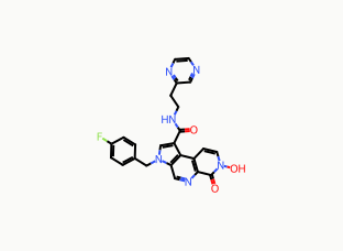 O=C(NCCc1cnccn1)c1cn(Cc2ccc(F)cc2)c2cnc3c(=O)n(O)ccc3c12